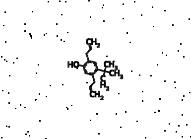 C=CCc1cc(C(C)(C)C)c(CC=C)cc1O